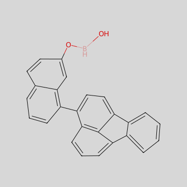 OBOc1ccc2cccc(-c3ccc4c5c(cccc35)-c3ccccc3-4)c2c1